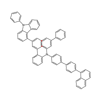 c1ccc(-c2cccc(N(c3ccc(-c4ccc(-c5cccc6ccccc56)cc4)cc3)c3ccccc3-c3cccc(-c4cccc5c4c4ccccc4n5-c4ccccc4)c3)c2)cc1